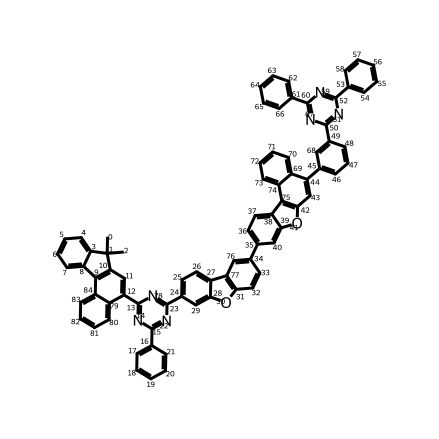 CC1(C)c2ccccc2-c2c1cc(-c1nc(-c3ccccc3)nc(-c3ccc4c(c3)oc3ccc(-c5ccc6c(c5)oc5cc(-c7cccc(-c8nc(-c9ccccc9)nc(-c9ccccc9)n8)c7)c7ccccc7c56)cc34)n1)c1ccccc21